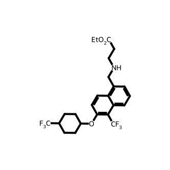 CCOC(=O)CCNCc1cccc2c(C(F)(F)F)c(OC3CCC(C(F)(F)F)CC3)ccc12